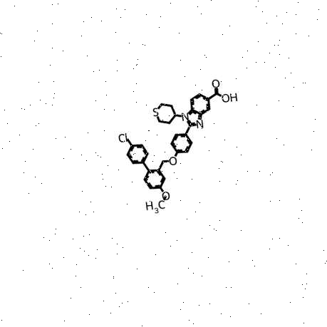 COc1ccc(-c2ccc(Cl)cc2)c(COc2ccc(-c3nc4cc(C(=O)O)ccc4n3C3CCSCC3)cc2)c1